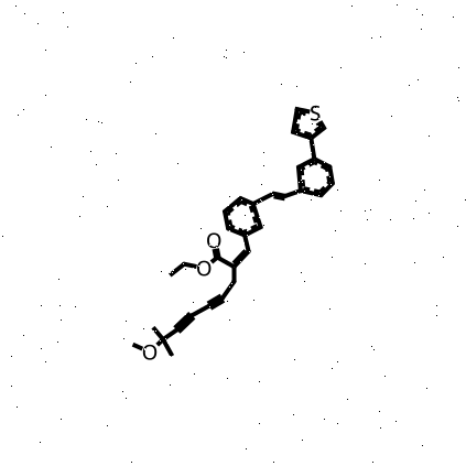 CCOC(=O)C(=Cc1cccc(C=Cc2cccc(-c3ccsc3)c2)c1)CC#CC#CC(C)(C)OC